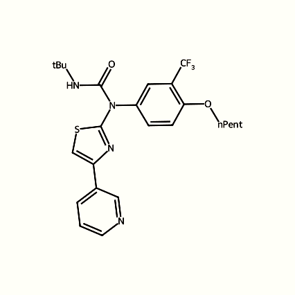 CCCCCOc1ccc(N(C(=O)NC(C)(C)C)c2nc(-c3cccnc3)cs2)cc1C(F)(F)F